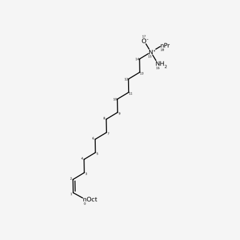 CCCCCCCC/C=C\CCCCCCCCCCCC[N+](N)([O-])CCC